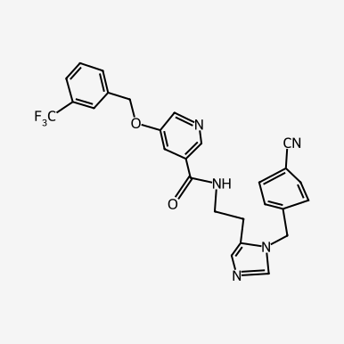 N#Cc1ccc(Cn2cncc2CCNC(=O)c2cncc(OCc3cccc(C(F)(F)F)c3)c2)cc1